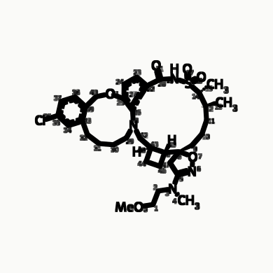 COCCN(C)C1=NO[C@]2(CCC[C@H](C)[C@@H](C)S(=O)(=O)NC(=O)c3ccc4c(c3)N(CCCCc3cc(Cl)ccc3CO4)C[C@@H]3CC[C@H]32)C1